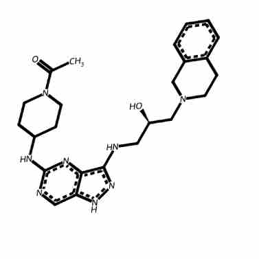 CC(=O)N1CCC(Nc2ncc3[nH]nc(NC[C@@H](O)CN4CCc5ccccc5C4)c3n2)CC1